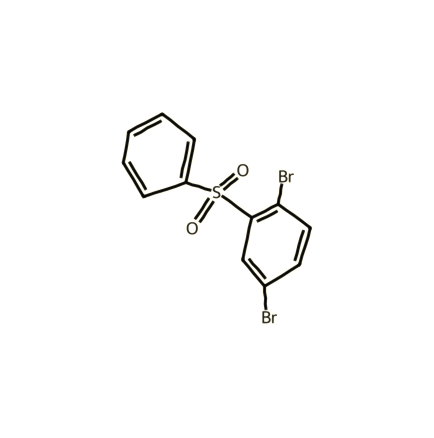 O=S(=O)(c1ccccc1)c1cc(Br)ccc1Br